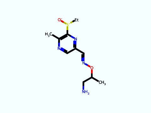 CC[S+]([O-])c1nc(/C=N/OC(C)CN)cnc1C